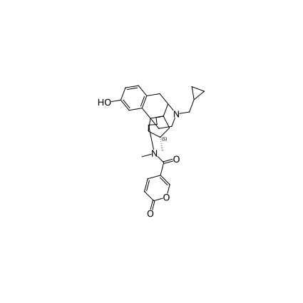 C[C@H]1CC23CCC(N(C)C(=O)c4ccc(=O)oc4)C1C21CCN(CC2CC2)C3Cc2ccc(O)cc21